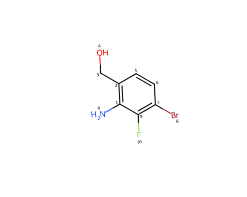 Nc1c(CO)ccc(Br)c1F